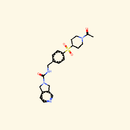 CC(=O)N1CCC(S(=O)(=O)c2ccc(CNC(=O)N3Cc4ccncc4C3)cc2)CC1